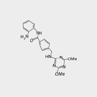 COc1nc(NCc2ccc(C(=O)Nc3ccccc3N)cc2)nc(OC)n1